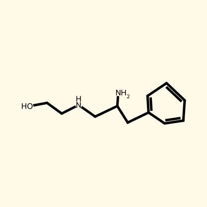 NC(CNCCO)Cc1ccccc1